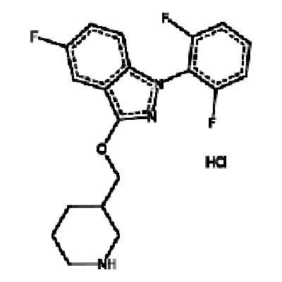 Cl.Fc1ccc2c(c1)c(OCC1CCCNC1)nn2-c1c(F)cccc1F